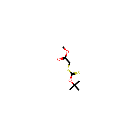 COC(=O)CSC(=S)OC(C)(C)C